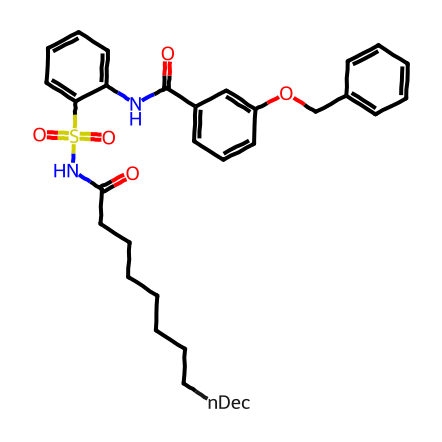 CCCCCCCCCCCCCCCCCC(=O)NS(=O)(=O)c1ccccc1NC(=O)c1cccc(OCc2ccccc2)c1